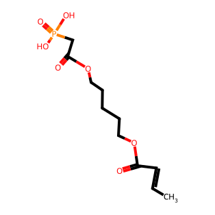 CC=CC(=O)OCCCCCOC(=O)CP(=O)(O)O